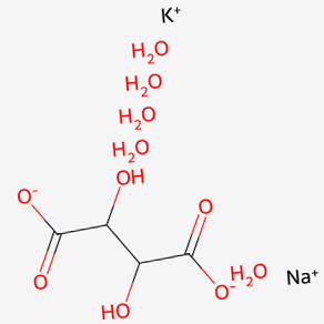 O.O.O.O.O.O=C([O-])C(O)C(O)C(=O)[O-].[K+].[Na+]